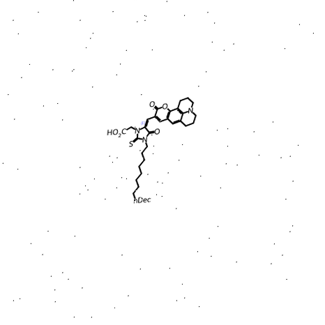 CCCCCCCCCCCCCCCCCCN1C(=O)/C(=C\c2cc3cc4c5c(c3oc2=O)CCCN5CCC4)N(CC(=O)O)C1=S